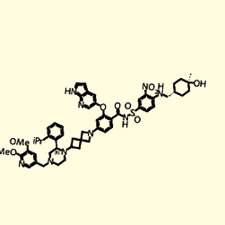 COc1cc(CN2CCN(C3CC4(C3)CN(c3ccc(C(=O)NS(=O)(=O)c5ccc(NC[C@H]6CC[C@](C)(O)CC6)c([N+](=O)[O-])c5)c(Oc5cnc6[nH]ccc6c5)c3)C4)[C@H](c3ccccc3C(C)C)C2)cnc1OC